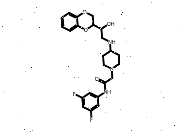 O=C(CN1CCC(NCC(O)C2COc3ccccc3O2)CC1)Nc1cc(F)cc(F)c1